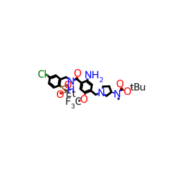 CCS(=O)(=O)c1ccc(Cl)cc1CNC(=O)c1cc(OC(F)(F)F)c(CN2CC[C@@H](N(C)C(=O)OC(C)(C)C)C2)cc1N